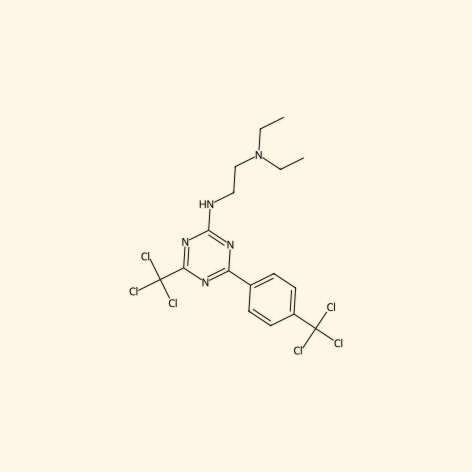 CCN(CC)CCNc1nc(-c2ccc(C(Cl)(Cl)Cl)cc2)nc(C(Cl)(Cl)Cl)n1